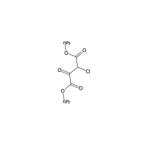 CCCOC(=O)C(=O)C(Cl)C(=O)OCCC